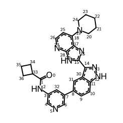 O=C(Nc1cncc(-c2ccc3[nH]nc(-c4nc5c(N6CCCCC6)ccnc5[nH]4)c3c2)c1)C1CCC1